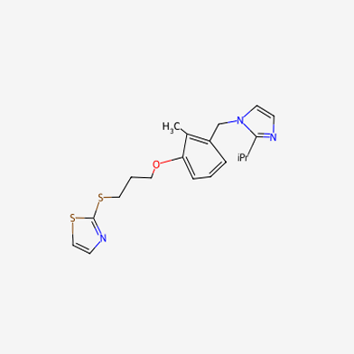 Cc1c(Cn2ccnc2C(C)C)cccc1OCCCSc1nccs1